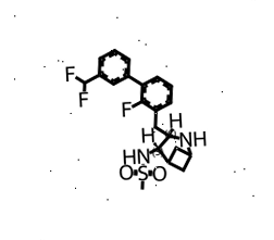 CS(=O)(=O)N[C@H]1C2CC(C2)N[C@H]1Cc1cccc(-c2cccc(C(F)F)c2)c1F